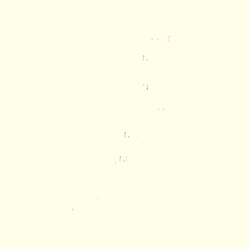 CCOC(=O)CN1CCN(C(=O)Cc2csc(NC(=O)c3ccc(Cl)cc3)n2)CC1